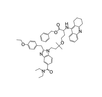 CCOc1ccc(Cc2nc3cc(C(=O)N(CC)CC)ccc3n2CCC(C)(C)OCCC(Nc2c3c(nc4ccccc24)CCCC3)C(=O)OCc2ccccc2)cc1